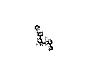 Cc1ccc(-c2ccnc3[nH]c(-c4n[nH]c5cnc(-c6cncc(OC7CCCCC7)c6)cc45)nc23)s1